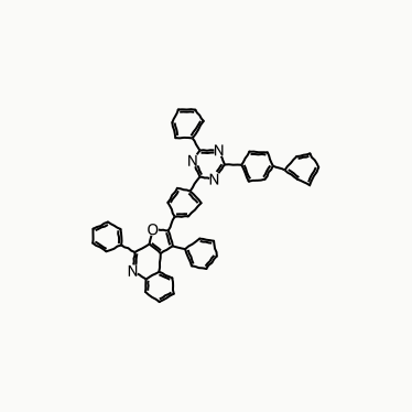 c1ccc(-c2ccc(-c3nc(-c4ccccc4)nc(-c4ccc(-c5oc6c(-c7ccccc7)nc7ccccc7c6c5-c5ccccc5)cc4)n3)cc2)cc1